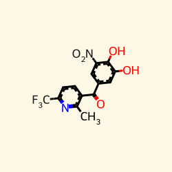 Cc1nc(C(F)(F)F)ccc1C(=O)c1cc(O)c(O)c([N+](=O)[O-])c1